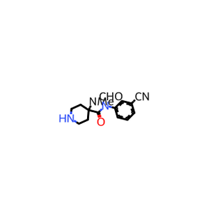 CNC1(C(=O)N(C=O)c2cccc(C#N)c2)CCNCC1